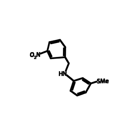 CSc1cccc(NCc2cccc([N+](=O)[O-])c2)c1